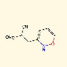 CC(C=O)CC1=CC=CON1